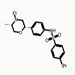 CCN1C[C@H](c2ccc(NS(=O)(=O)c3ccc(C(C)C)cc3)cc2)OC[C@@H]1C